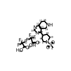 CS(=O)(=O)N1CCC(c2ncnc3c2CNCC3)CC1.O=C(O)C(F)(F)F.O=C(O)C(F)(F)F